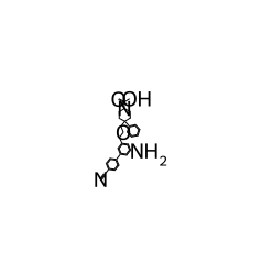 N#Cc1ccc(-c2cc(N)cc(COCC3(c4ccccc4)CCN(C(=O)O)CC3)c2)cc1